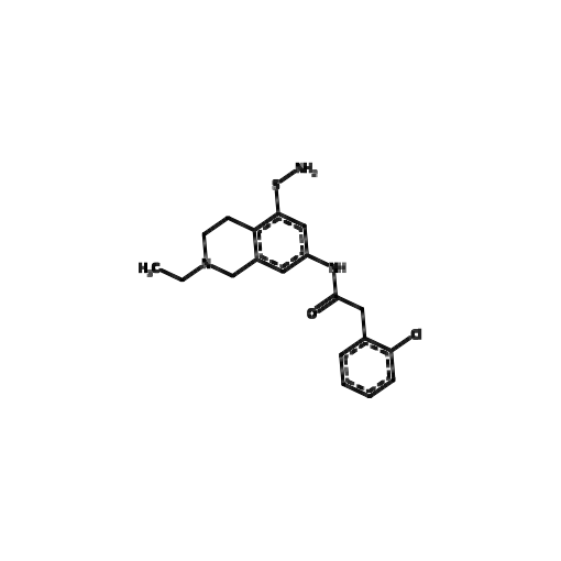 CCN1CCc2c(cc(NC(=O)Cc3ccccc3Cl)cc2SN)C1